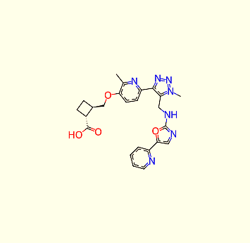 Cc1nc(-c2nnn(C)c2CNc2ncc(-c3ccccn3)o2)ccc1OC[C@@H]1CC[C@H]1C(=O)O